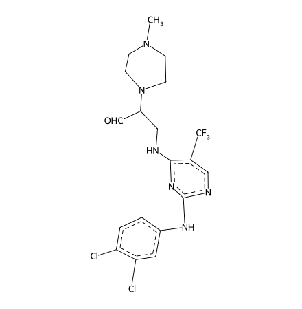 CN1CCN(C(C=O)CNc2nc(Nc3ccc(Cl)c(Cl)c3)ncc2C(F)(F)F)CC1